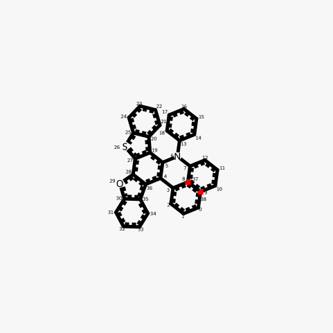 c1ccc(-c2c(N(c3ccccc3)c3ccccc3)c3c4ccccc4sc3c3oc4ccccc4c23)cc1